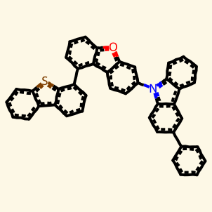 c1ccc(-c2ccc3c(c2)c2ccccc2n3-c2ccc3c(c2)oc2cccc(-c4cccc5c4sc4ccccc45)c23)cc1